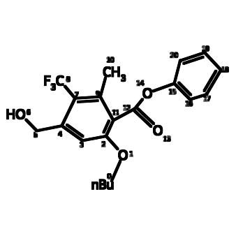 CCCCOc1cc(CO)c(C(F)(F)F)c(C)c1C(=O)Oc1ccccc1